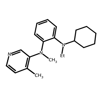 CCN(c1ccccc1N(C)c1cnccc1C)C1CCCCC1